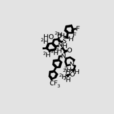 [2H]C1=C(SC([2H])([2H])c2cccc(F)c2F)N(C([2H])([2H])C(=O)N(Cc2ccc(-c3ccc(C(F)(F)F)cc3)cc2)C2CCN(CC([2H])([2H])OC([2H])([2H])[2H])CC2)c2c([2H])c([2H])c(C)c([2H])c2C1O